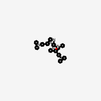 N#Cc1cc(-c2cccc(-c3ccccc3)n2)c(-n2c3ccccc3c3cc(-c4ccc(-n5c6ccccc6c6ccccc65)cc4)ccc32)cc1-n1c2ccccc2c2cc(-c3ccc(-n4c5ccccc5c5ccccc54)cc3)ccc21